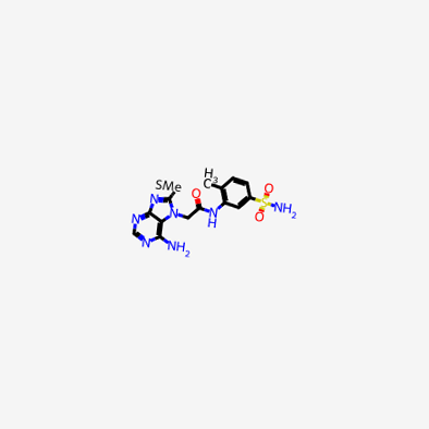 CSc1nc2ncnc(N)c2n1CC(=O)Nc1cc(S(N)(=O)=O)ccc1C